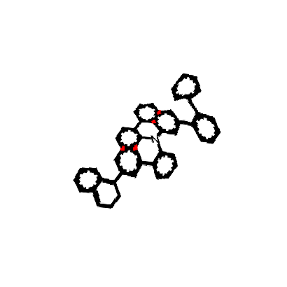 C1=c2ccccc2=C(c2cccc(-c3ccccc3N(c3cccc(-c4ccccc4-c4ccccc4)c3)c3ccccc3-c3ccccc3)c2)CC1